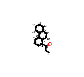 CCC(=O)c1cccc2c1ccc1ccccc12